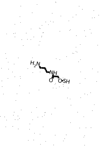 NCCCNC(=O)COS